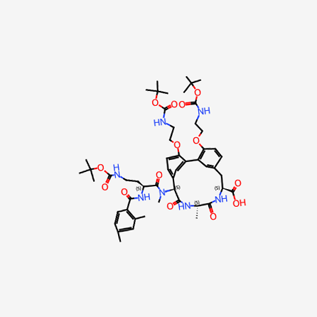 Cc1ccc(C(=O)N[C@@H](CCNC(=O)OC(C)(C)C)C(=O)N(C)[C@@H]2C(=O)N[C@@H](C)C(=O)N[C@H](C(=O)O)Cc3ccc(OCCNC(=O)OC(C)(C)C)c(c3)-c3cc2ccc3OCCNC(=O)OC(C)(C)C)c(C)c1